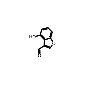 O=Cc1coc2cccc(O)c12